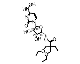 CCOCC(CC)(COCC)C(=O)OC[C@H]1O[C@@H](n2ccc(NO)nc2=O)[C@H](O)[C@@H]1O